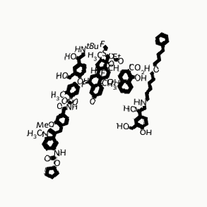 CC(C)(C)NCC(O)c1ccc(O)c(CO)c1.CCC(=O)O[C@]1(C(=O)SCF)[C@H](C)C[C@H]2C3C[C@H](F)C4=CC(=O)C=C[C@]4(C)[C@@]3(F)[C@@H](O)C[C@@]21C.COc1cc(C(=O)NS(=O)(=O)c2ccccc2C)ccc1Cc1cn(C)c2ccc(NC(=O)OC3CCCC3)cc12.O=C(O)c1ccc2ccccc2c1O.OCc1cc(C(O)CNCCCCCCOCCCCc2ccccc2)ccc1O